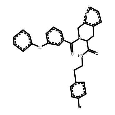 O=C(NCCc1ccc(Br)cc1)C1Cc2ccccc2CN1C(=O)c1cccc(Oc2ccccc2)c1